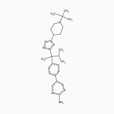 CC(C)C(C)(c1ccc(-c2cnc(N)nc2)cc1)c1noc(C2CCN(C(C)(C)C)CC2)n1